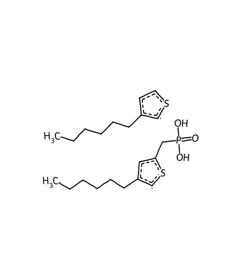 CCCCCCc1[c]sc(CP(=O)(O)O)c1.CCCCCCc1[c]scc1